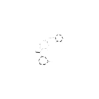 Cc1cccc(C(=O)N2CCN(Cc3ccccc3)CC2)c1